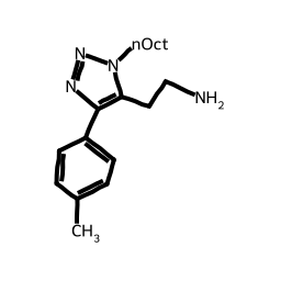 CCCCCCCCn1nnc(-c2ccc(C)cc2)c1CCN